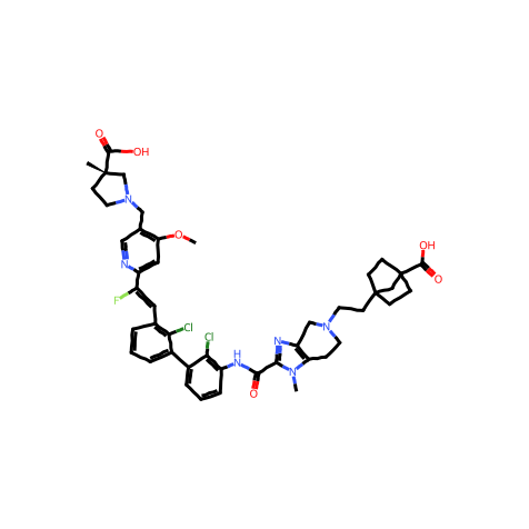 COc1cc(/C(F)=C/c2cccc(-c3cccc(NC(=O)c4nc5c(n4C)CCN(CCC46CCC(C(=O)O)(CC4)C6)C5)c3Cl)c2Cl)ncc1CN1CC[C@](C)(C(=O)O)C1